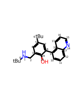 CC(C)(C)NCc1cc(C(C)(C)C)cc(-c2cccc3ncccc23)c1O